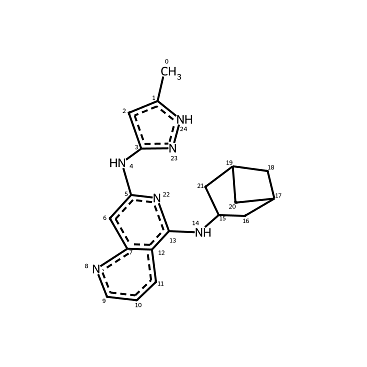 Cc1cc(Nc2cc3ncccc3c(NC3CC4CC(C4)C3)n2)n[nH]1